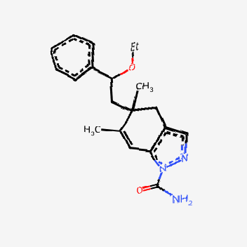 CCOC(CC1(C)Cc2cnn(C(N)=O)c2C=C1C)c1ccccc1